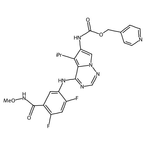 CONC(=O)c1cc(Nc2ncnn3cc(NC(=O)OCc4ccncc4)c(C(C)C)c23)c(F)cc1F